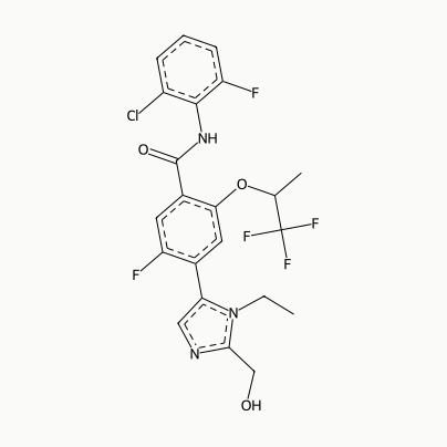 CCn1c(-c2cc(OC(C)C(F)(F)F)c(C(=O)Nc3c(F)cccc3Cl)cc2F)cnc1CO